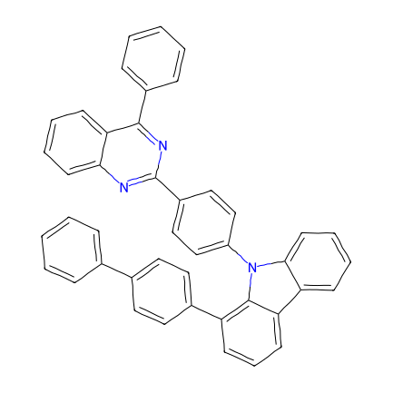 c1ccc(-c2ccc(-c3cccc4c5ccccc5n(-c5ccc(-c6nc(-c7ccccc7)c7ccccc7n6)cc5)c34)cc2)cc1